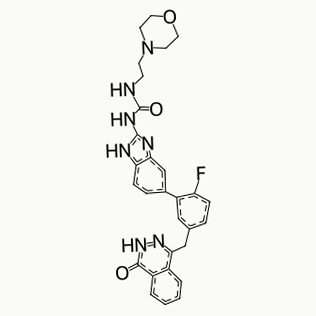 O=C(NCCN1CCOCC1)Nc1nc2cc(-c3cc(Cc4n[nH]c(=O)c5ccccc45)ccc3F)ccc2[nH]1